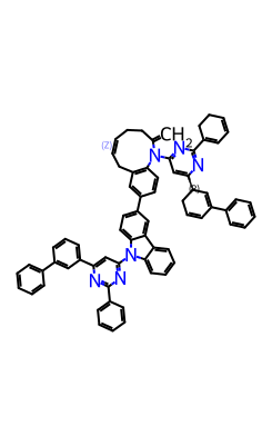 C=C1CC/C=C\Cc2cc(-c3ccc4c(c3)c3ccccc3n4-c3cc(-c4cccc(-c5ccccc5)c4)nc(-c4ccccc4)n3)ccc2N1c1cc([C@H]2C=C(c3ccccc3)C=CC2)nc(C2=CC=CCC2)n1